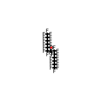 O=S(=O)(C(F)(F)C(F)(F)C(F)(F)C(F)(F)C(F)(F)C(F)(F)F)C(F)(F)C(F)(F)C(F)(F)C(F)(F)C(F)(F)C(F)(F)F